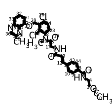 CCOCCNC(=O)c1ccc(C=CC(=O)NCC(=O)N(C)c2ccc(Cl)c(COc3cccc4ncc(C)nc34)c2Cl)cc1